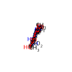 Cc1cc2c(CN3CCN(C4CC5(CCN(c6ccc(C(=O)NS(=O)(=O)c7ccc(NCC8CCC(C)(O)CC8)c([N+](=O)[O-])c7)cc6)CC5)C4)[C@@H](c4ccccc4OC(C)C)C3)cnc(N3CCOCC3)c2o1